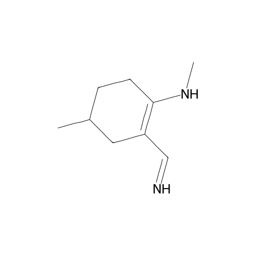 CNC1=C(C=N)CC(C)CC1